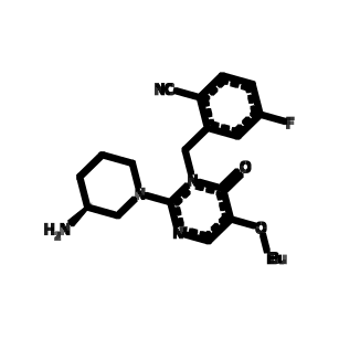 CCC(C)Oc1cnc(N2CCC[C@H](N)C2)n(Cc2cc(F)ccc2C#N)c1=O